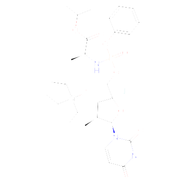 CC[Si](CC)(CC)O[C@H]1[C@H](C)[C@H](n2ccc(=O)[nH]c2=O)O[C@]1(F)COP(=O)(N[C@@H](C)C(=O)OC(C)C)Oc1ccccc1